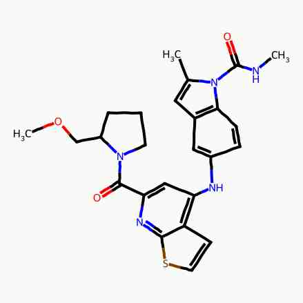 CNC(=O)n1c(C)cc2cc(Nc3cc(C(=O)N4CCCC4COC)nc4sccc34)ccc21